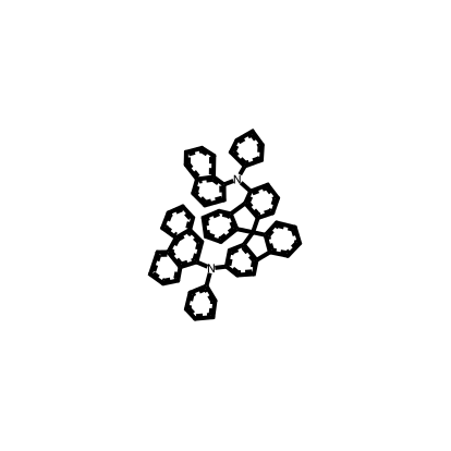 c1ccc(N(c2cccc3c2-c2ccccc2C32c3ccccc3-c3ccc(N(c4ccccc4)c4cc5ccccc5c5ccccc45)cc32)c2cccc3ccccc23)cc1